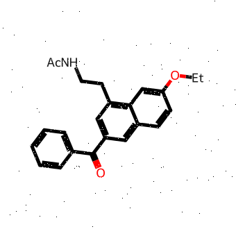 CCOc1ccc2cc(C(=O)c3ccccc3)cc(CCNC(C)=O)c2c1